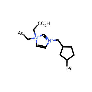 CC(=O)C[N+]1(CC(=O)O)C=C[N+](CC2CCC(C(C)C)C2)=C1